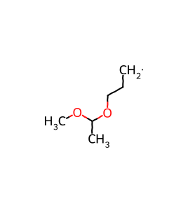 [CH2]CCOC(C)OC